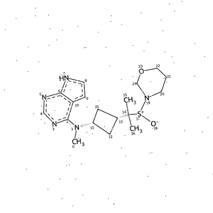 CN(c1ncnc2[nH]ccc12)[C@H]1C[C@@H](C(C)(C)[S+]([O-])N2CCCOC2)C1